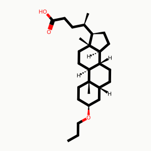 CCCO[C@H]1CC[C@@]2(C)[C@H](CC[C@@H]3[C@@H]2CC[C@]2(C)[C@@H]([C@H](C)CCC(=O)O)CC[C@@H]32)C1